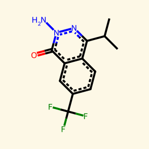 CC(C)c1nn(N)c(=O)c2cc(C(F)(F)F)ccc12